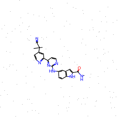 CNC(=O)c1cc2cc(Nc3nccc(-c4cc(C(C)(C)C#N)ccn4)n3)ccc2[nH]1